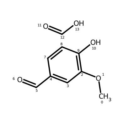 COc1cc(C=O)ccc1O.O=CO